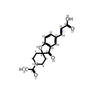 CC(=O)N1CCC2(CC1)Oc1ccc(/C=C/C(=O)O)cc1C2=O